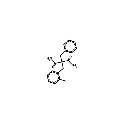 NC(=O)C(Cc1ccccc1)(Cc1ccccc1I)C(N)=O